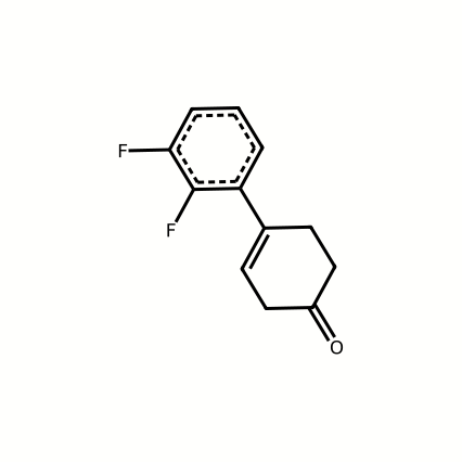 O=C1CC=C(c2cccc(F)c2F)CC1